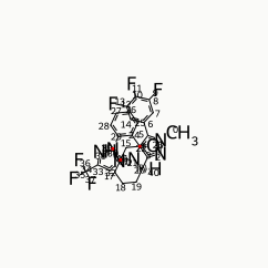 Cn1nc2c(c1-c1cc(F)c(F)c(F)c1)C[C@@H]1CCC[C@H]2N1C(=O)c1ccccc1-n1ncc(C(F)(F)F)n1